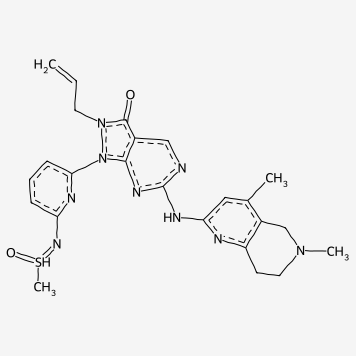 C=CCn1c(=O)c2cnc(Nc3cc(C)c4c(n3)CCN(C)C4)nc2n1-c1cccc(/N=[SH](/C)=O)n1